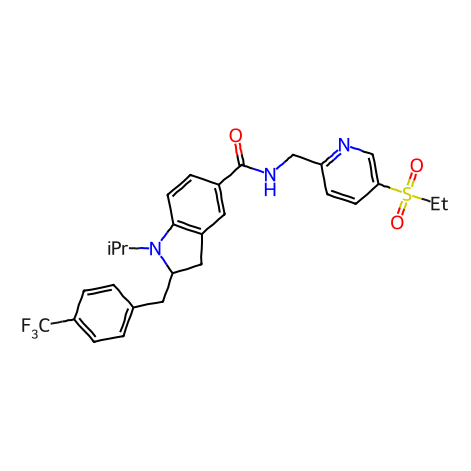 CCS(=O)(=O)c1ccc(CNC(=O)c2ccc3c(c2)CC(Cc2ccc(C(F)(F)F)cc2)N3C(C)C)nc1